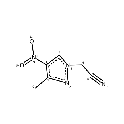 Cc1nn(CC#N)cc1[N+](=O)[O-]